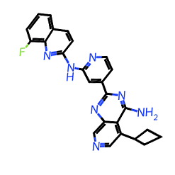 Nc1nc(-c2ccnc(Nc3ccc4cccc(F)c4n3)c2)nc2cncc(C3CCC3)c12